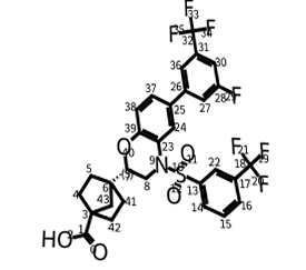 O=C(O)C12CCC([C@H]3CN(S(=O)(=O)c4cccc(C(F)(F)F)c4)c4cc(-c5cc(F)cc(C(F)(F)F)c5)ccc4O3)(CC1)C2